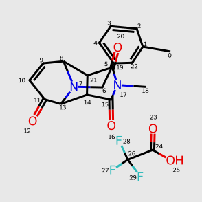 Cc1cccc(CN2C3C=CC(=O)C2C2C(=O)N(C)C(=O)C23)c1.O=C(O)C(F)(F)F